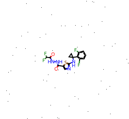 O=C(NNC(=O)C(F)F)c1cnc(NC2(c3c(F)cccc3F)CC2)s1